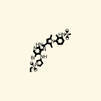 CCS(=O)(=O)N1CCC(Nc2c(Br)cnc3[nH]c(-c4cc(C)n(-c5cccc(NS(C)(=O)=O)c5C)c4C)nc23)C1